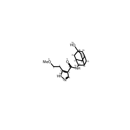 COCCc1[nH]ncc1C(=O)NC1C2CC3CC1CC(O)(C3)C2